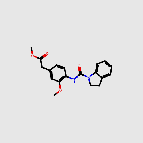 COC(=O)Cc1ccc(NC(=O)N2CCc3ccccc32)c(OC)c1